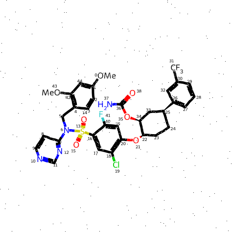 COc1ccc(CN(c2ccncn2)S(=O)(=O)c2cc(Cl)c(O[C@H]3CC[C@H](c4cccc(C(F)(F)F)c4)C[C@@H]3OC(N)=O)cc2F)c(OC)c1